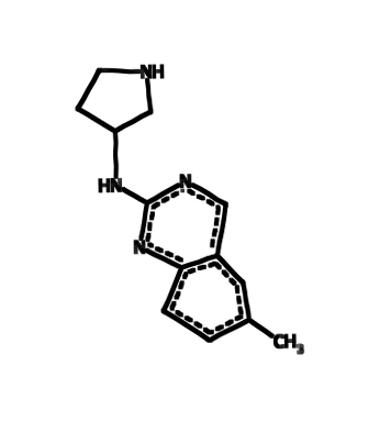 Cc1ccc2nc(NC3CCNC3)ncc2c1